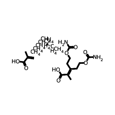 C.C.C.C.C.C.C.C.C.C=C(C)C(=O)O.CC(C(=O)O)=C(CCOC(N)=O)CCOC(N)=O